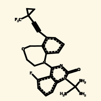 BC(B)(B)n1c(=O)nc(N2CCOCc3c(C#CC4(C(F)(F)F)CC4)cccc32)c2c(F)cccc21